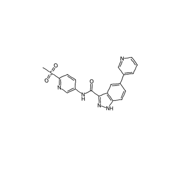 CS(=O)(=O)c1ccc(NC(=O)c2n[nH]c3ccc(-c4cccnc4)cc23)cn1